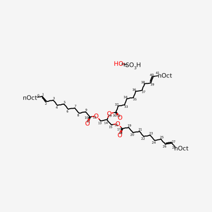 CCCCCCCC/C=C/CCCCCCCC(=O)OCC(COC(=O)CCCCCCC/C=C/CCCCCCCC)OC(=O)CCCCCCC/C=C/CCCCCCCC.O=S(=O)(O)O